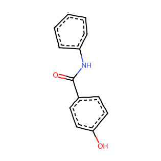 O=C(Nc1cc[c]cc1)c1ccc(O)cc1